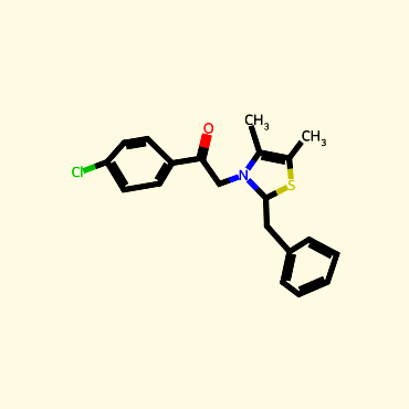 CC1=C(C)N(CC(=O)c2ccc(Cl)cc2)C(Cc2ccccc2)S1